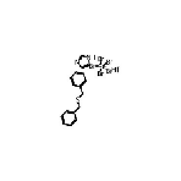 [Br][Re]([Br])([Br])([Br])[Br].[Hf].c1c[nH]cn1.c1ccc(CSCc2ccccc2)cc1